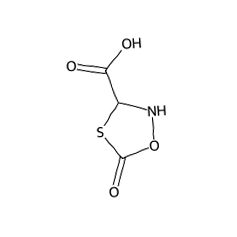 O=C1ONC(C(=O)O)S1